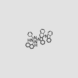 C1=CCC2C(=C1)C=c1c(c3ccccc3n1C1=NC(C3C=CC=CC3)NC(c3cccc4ccccc34)N1)=C2N1c2ccccc2C2C=CC=CC21